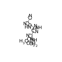 C=C(Nc1cncc(-c2cnc3[nH]nc(-c4cc5c(-c6ccncc6)cncc5[nH]4)c3c2)c1)C(C)(C)C